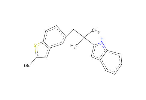 CC(C)(C)c1cc2cc(CC(C)(C)c3cc4ccccc4[nH]3)ccc2s1